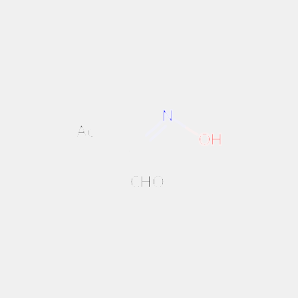 CC(=O)C(C=O)=NO